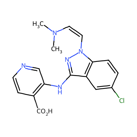 CN(C)/C=C\n1nc(Nc2cnccc2C(=O)O)c2cc(Cl)ccc21